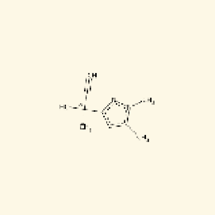 C#C[C@](C)(O)c1cc(C)n(C)n1